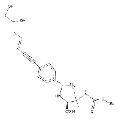 CCC(C)(NC(=O)OC(C)(C)C)[C@H](NC(=O)c1ccc(C#C/C=C/CC(O)CO)cc1)C(=O)O